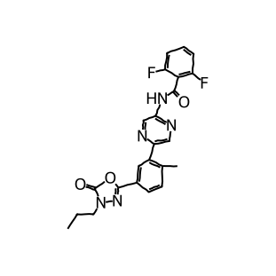 CCCn1nc(-c2ccc(C)c(-c3cnc(NC(=O)c4c(F)cccc4F)cn3)c2)oc1=O